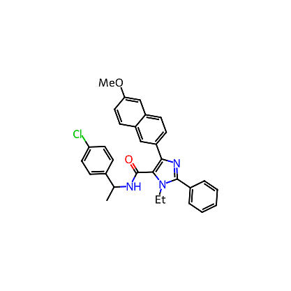 CCn1c(-c2ccccc2)nc(-c2ccc3cc(OC)ccc3c2)c1C(=O)NC(C)c1ccc(Cl)cc1